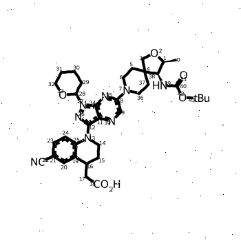 C[C@@H]1OCC2(CCN(c3cnc4c(N5CCC(CC(=O)O)c6cc(C#N)ccc65)nn(C5CCCCO5)c4n3)CC2)[C@@H]1NC(=O)OC(C)(C)C